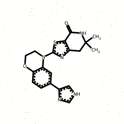 CC1(C)Cc2nc(N3CCOc4ccc(-c5c[nH]cn5)cc43)sc2C(=O)N1